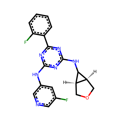 Fc1cncc(Nc2nc(NC3[C@H]4COC[C@@H]34)nc(-c3ccccc3F)n2)c1